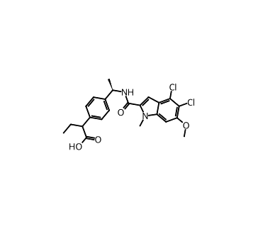 CCC(C(=O)O)c1ccc([C@@H](C)NC(=O)c2cc3c(Cl)c(Cl)c(OC)cc3n2C)cc1